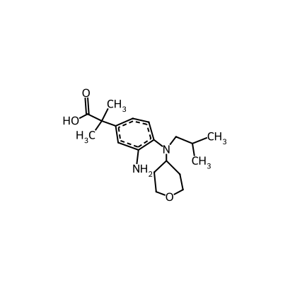 CC(C)CN(c1ccc(C(C)(C)C(=O)O)cc1N)C1CCOCC1